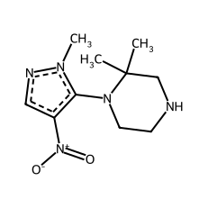 Cn1ncc([N+](=O)[O-])c1N1CCNCC1(C)C